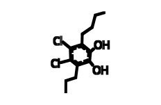 CCCCc1c(O)c(O)c(CCC)c(Cl)c1Cl